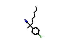 CCCCCCC(C)(C#N)c1ccc(Br)cc1